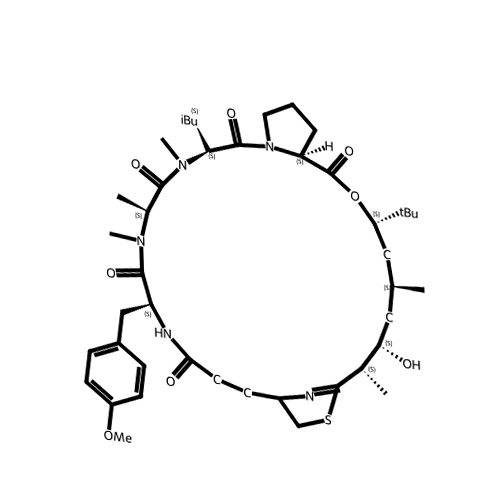 CC[C@H](C)[C@H]1C(=O)N2CCC[C@H]2C(=O)O[C@H](C(C)(C)C)C[C@@H](C)C[C@H](O)[C@H](C)C2=NC(CCC(=O)N[C@@H](Cc3ccc(OC)cc3)C(=O)N(C)[C@@H](C)C(=O)N1C)CS2